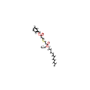 CCCCCCCCCCCCOC(=O)CCSCCC(=O)OCc1ccccc1.[Ca]